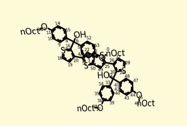 CCCCCCCCOc1ccc(C(O)(c2ccc(OCCCCCCCC)cc2)c2sccc2-c2cc3sc(-c4ccsc4C(O)(c4ccc(OCCCCCCCC)cc4)c4ccc(OCCCCCCCC)cc4)cc3s2)cc1